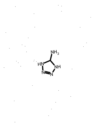 NC1NN=NN1